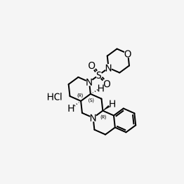 Cl.O=S(=O)(N1CCOCC1)N1CCC[C@@H]2CN3CCc4ccccc4[C@H]3C[C@@H]21